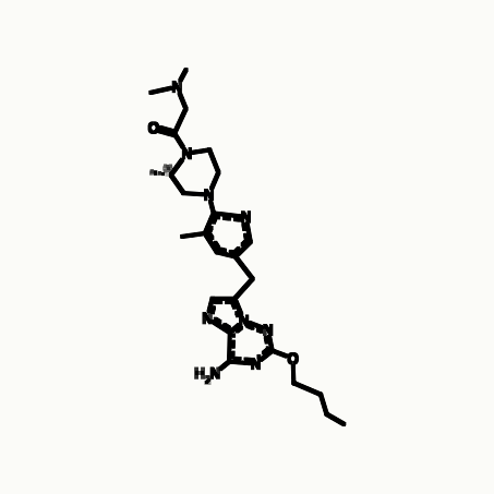 CCCCOc1nc(N)c2ncc(Cc3cnc(N4CCN(C(=O)CN(C)C)[C@@H](C)C4)c(C)c3)n2n1